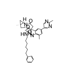 CC(=O)C1(CC(=O)N2[C@H](C(=O)NCCCCCCc3ccccc3)C[C@@]3(C)C[C@@H]23)N=Nc2c(C)cc(-c3cnc(C)nc3)cc21